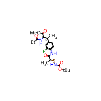 CCC(=O)N[C@@H](C(=O)OC)[C@@H](C)c1ccc(NC(=O)C(C)SNC(=O)OC(C)(C)C)c(F)c1